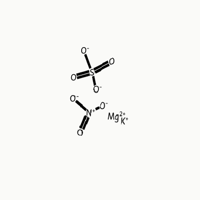 O=S(=O)([O-])[O-].O=[N+]([O-])[O-].[K+].[Mg+2]